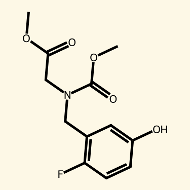 COC(=O)CN(Cc1cc(O)ccc1F)C(=O)OC